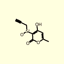 C#CC[S+]([O-])c1c(O)cc(C)oc1=O